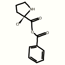 O=C(OC(=O)[C@]1(Cl)CCCN1)c1ccccc1